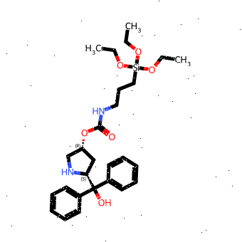 CCO[Si](CCCNC(=O)O[C@H]1CN[C@H](C(O)(c2ccccc2)c2ccccc2)C1)(OCC)OCC